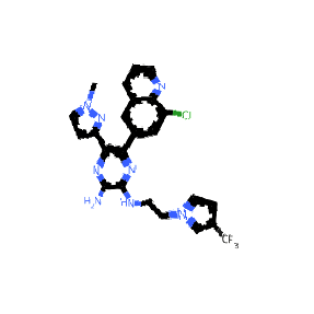 Cn1ccc(-c2nc(N)c(NCCn3ccc(C(F)(F)F)c3)nc2-c2cc(Cl)c3ncccc3c2)n1